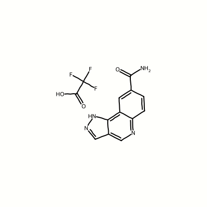 NC(=O)c1ccc2ncc3cn[nH]c3c2c1.O=C(O)C(F)(F)F